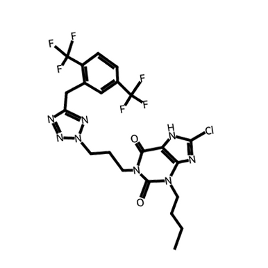 CCCCn1c(=O)n(CCCn2nnc(Cc3cc(C(F)(F)F)ccc3C(F)(F)F)n2)c(=O)c2[nH]c(Cl)nc21